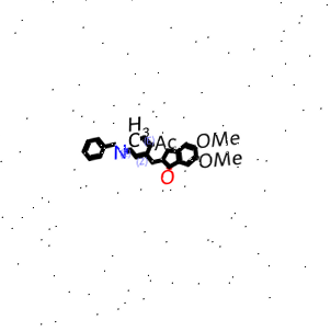 C\C=C(C(C)=O)/C(=C\C=N\Cc1ccccc1)CC1Cc2cc(OC)c(OC)cc2C1=O